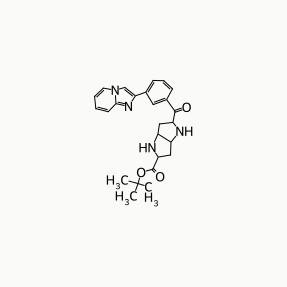 CC(C)(C)OC(=O)C1CC2NC(C(=O)c3cccc(-c4cn5ccccc5n4)c3)CC2N1